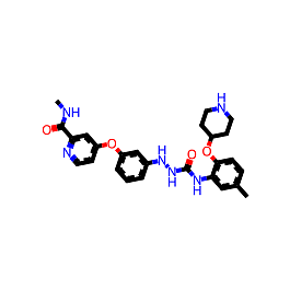 CNC(=O)c1cc(Oc2cccc(NNC(=O)Nc3cc(C)ccc3OC3CCNCC3)c2)ccn1